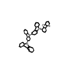 c1cnc2c(c1)oc1c(-n3c4ccccc4c4cc(-n5c6ccccc6c6cc(-n7c8ccccc8c8ccccc87)ccc65)ccc43)cccc12